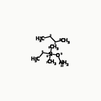 CCCC.CC[Si](C)(C)[O][AlH2]